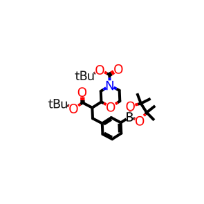 CC(C)(C)OC(=O)C(Cc1cccc(B2OC(C)(C)C(C)(C)O2)c1)C1CN(C(=O)OC(C)(C)C)CCO1